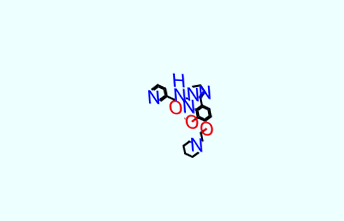 COc1c(OCCN2CCCCC2)ccc2c1N=C(NC(=O)c1cccnc1)N1CCN=C21